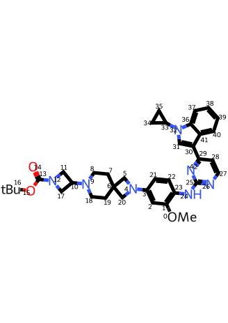 COc1cc(N2CC3(CCN(C4CN(C(=O)OC(C)(C)C)C4)CC3)C2)ccc1Nc1nccc(-c2cn(C3CC3)c3ccccc23)n1